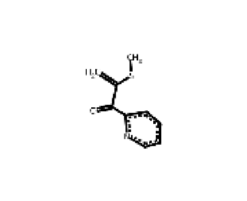 C=C(SC)C(=O)c1ccccn1